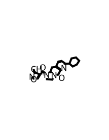 Cc1nocc1C(=O)N1CCN2C(=O)c3nc(C4CCCCC4)ccc3CC12